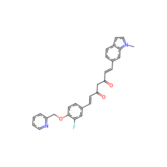 Cn1ccc2ccc(C=CC(=O)CC(=O)C=Cc3ccc(OCc4ccccn4)c(F)c3)cc21